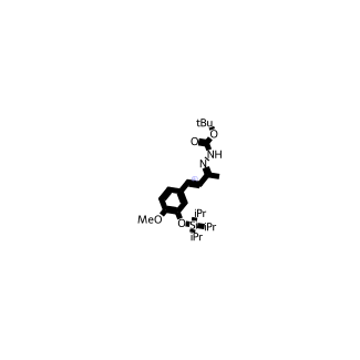 COc1ccc(/C=C/C(C)=NNC(=O)OC(C)(C)C)cc1O[Si](C(C)C)(C(C)C)C(C)C